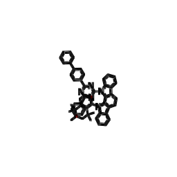 CC1CC(C)(C)c2c(-n3c4ccccc4c4ccc5c6ccccc6n(-c6nc(-c7ccccc7)nc(-c7ccc(-c8ccccc8)cc7)n6)c5c43)cccc2C1(C)C